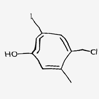 Cc1cc(O)c(I)cc1Cl